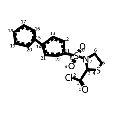 O=C(Cl)C1SCCN1S(=O)(=O)c1ccc(-c2ccccc2)cc1